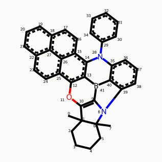 CC12CCCCC1(C)N1C3=C2Oc2c4c(c5ccc6cccc7ccc2c5c76)N(c2ccccc2)c2cccc1c2B34